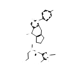 C[C@@H]1C2=C(CC[C@@H]2CN(CCO)S(=O)(=O)c2cn(C)nc2C(F)(F)F)Cc2c1cnn2-c1ccc(F)cc1